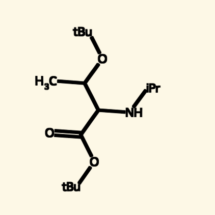 CC(C)NC(C(=O)OC(C)(C)C)C(C)OC(C)(C)C